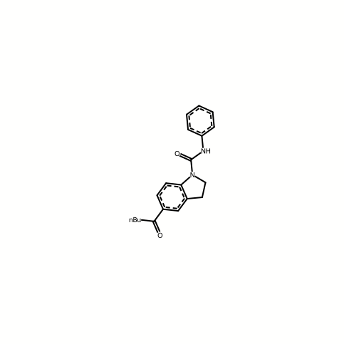 CCCCC(=O)c1ccc2c(c1)CCN2C(=O)Nc1ccccc1